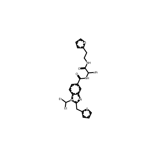 CCCC(NC(=O)c1ccc2c(c1)nc(Cc1cccs1)n2C(CC)CC)C(=O)NCCc1cccs1